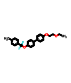 CCOCCOc1ccc(-c2ccc(OC(F)(F)c3ccc(C)cc3)cc2)cc1